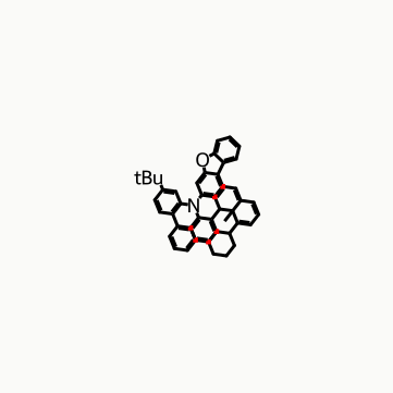 CC(C)(C)c1ccc(-c2ccccc2)c(N(c2ccc3c(c2)oc2ccccc23)c2ccccc2C2C=CC=C3C=CC=C(C4CCCCC4)C32C)c1